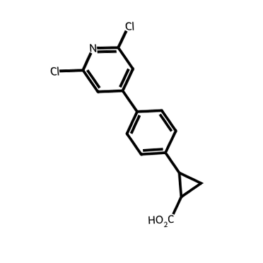 O=C(O)C1CC1c1ccc(-c2cc(Cl)nc(Cl)c2)cc1